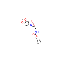 O=C(NCCC1CN(c2ccc3c(c2)OCCO3)C(=O)O1)OCc1ccccc1